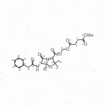 COC(=O)CCC(=O)OCOC(=O)C1N2C(=O)[C@@H](NC(=O)Cc3ccccc3)[C@H]2SC1(C)C